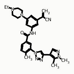 C=C(C#N)c1cc(NC(=O)c2ccc(C)c(-n3cc(-c4cnn(C)c4C)nn3)c2)cc(N2CCN(CC)CC2)c1